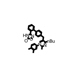 CCCCC1=NC(C)N(c2ccc(C)c(C)c2)C=C1Cc1ccc(-c2ccccc2-c2noc(=O)[nH]2)cc1